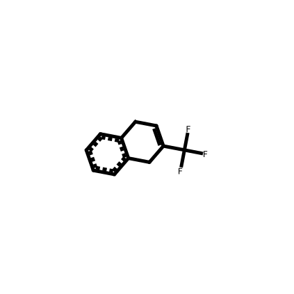 FC(F)(F)C1=C[CH]c2ccccc2C1